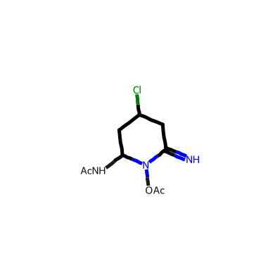 CC(=O)NC1CC(Cl)CC(=N)N1OC(C)=O